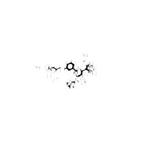 CNCC(O)COc1cccc(-c2nc(Nc3nncs3)c(C)c(-c3c(C)noc3C)n2)c1